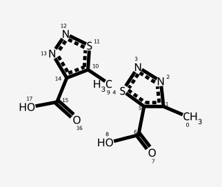 Cc1nnsc1C(=O)O.Cc1snnc1C(=O)O